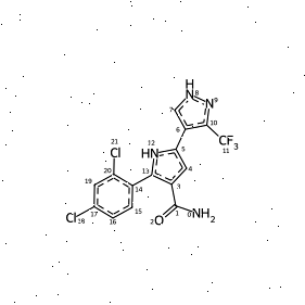 NC(=O)c1cc(-c2c[nH]nc2C(F)(F)F)[nH]c1-c1ccc(Cl)cc1Cl